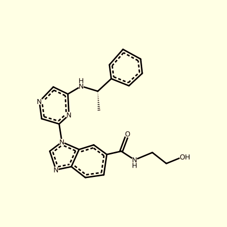 C[C@H](Nc1cncc(-n2cnc3ccc(C(=O)NCCO)cc32)n1)c1ccccc1